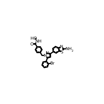 Nc1nc2ccc(-c3cc(-c4ccccc4Br)n(Cc4ccc(C(=O)NO)cc4)n3)cc2s1